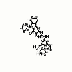 Cc1cc(Nc2ncc3c(=O)n4c(nc3n2)c2ccccc2n4-c2ncccn2)ccc1[N+]1(C2CC2)CCNCC1